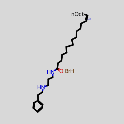 Br.CCCCCCCC/C=C\CCCCCCCCCCCC(=O)NCCCNCCc1ccccc1